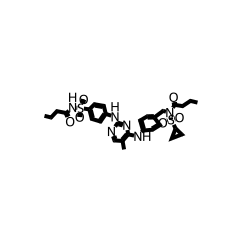 CCCC(=O)NS(=O)(=O)c1ccc(Nc2ncc(C)c(Nc3ccc(CN(C(=O)CCC)S(=O)(=O)C4CC4)cc3)n2)cc1